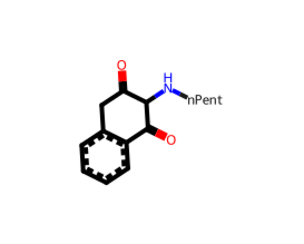 CCCCCNC1C(=O)Cc2ccccc2C1=O